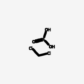 ClCCl.O=S(O)O